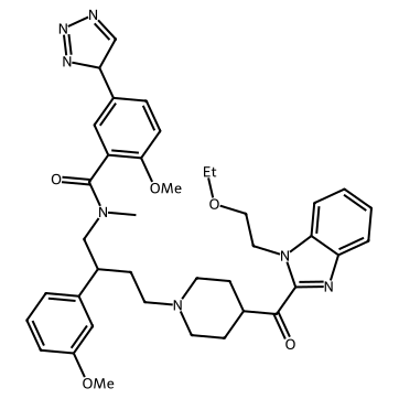 CCOCCn1c(C(=O)C2CCN(CCC(CN(C)C(=O)c3cc(C4C=NN=N4)ccc3OC)c3cccc(OC)c3)CC2)nc2ccccc21